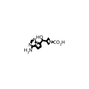 Nc1ncnn2c(C(O)C3CN(C(=O)O)C3)ccc12